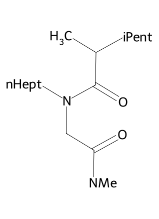 CCCCCCCN(CC(=O)NC)C(=O)C(C)C(C)CCC